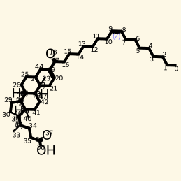 CCCCCCCC/C=C\CCCCCCCC(=O)C1=CC[C@@]2(C)C(CC[C@H]3[C@@H]4CC[C@H]([C@H](C)CCC(=O)O)[C@@]4(C)CC[C@@H]32)C1